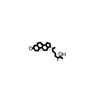 C=C(O)[C@@H](C)CCCC(C)[C@H]1CCC2C3=CCC4CC(=O)CC[C@]4(C)C3CC[C@@]21C